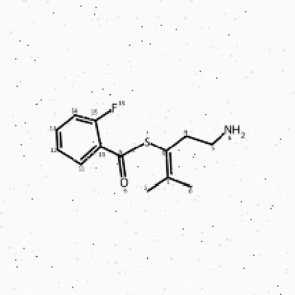 CC(C)=C(CCN)SC(=O)c1ccccc1F